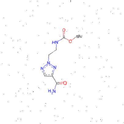 CC(C)(C)OC(=O)NCCn1ncc(C(N)=O)n1